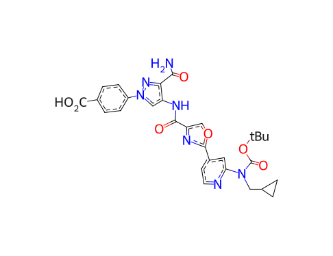 CC(C)(C)OC(=O)N(CC1CC1)c1cc(-c2nc(C(=O)Nc3cn(-c4ccc(C(=O)O)cc4)nc3C(N)=O)co2)ccn1